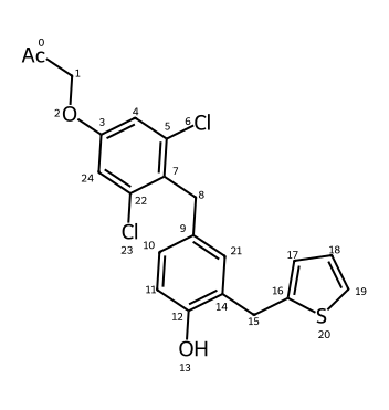 CC(=O)COc1cc(Cl)c(Cc2ccc(O)c(Cc3cccs3)c2)c(Cl)c1